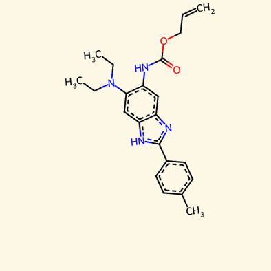 C=CCOC(=O)Nc1cc2nc(-c3ccc(C)cc3)[nH]c2cc1N(CC)CC